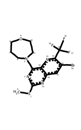 CSc1nc(N2CCCOCC2)c2nc(C(F)(F)F)c(Br)cc2n1